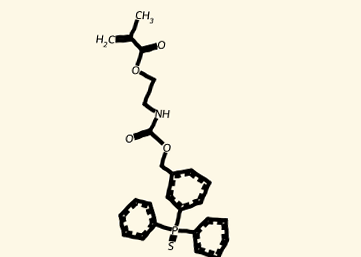 C=C(C)C(=O)OCCNC(=O)OCc1cccc(P(=S)(c2ccccc2)c2ccccc2)c1